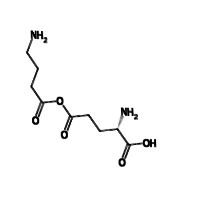 NCCCC(=O)OC(=O)CC[C@H](N)C(=O)O